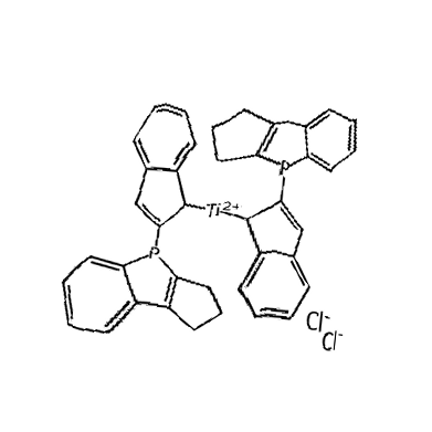 C1=C(p2c3c(c4ccccc42)CCC3)[CH]([Ti+2][CH]2C(p3c4c(c5ccccc53)CCC4)=Cc3ccccc32)c2ccccc21.[Cl-].[Cl-]